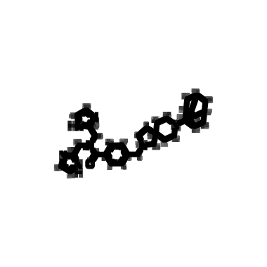 O=C(c1ccc(CN2CCC3(CCN(C4C5CC6CC(C5)CC4C6)CC3)C2)cc1)N(Cc1ncc[nH]1)Cc1ncc[nH]1